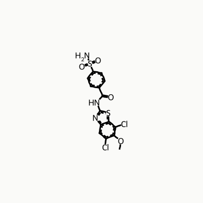 COc1c(Cl)cc2nc(NC(=O)c3ccc(S(N)(=O)=O)cc3)sc2c1Cl